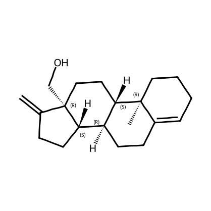 C=C1CC[C@H]2[C@@H]3CCC4=CCCC[C@]4(C)[C@H]3CC[C@]12CO